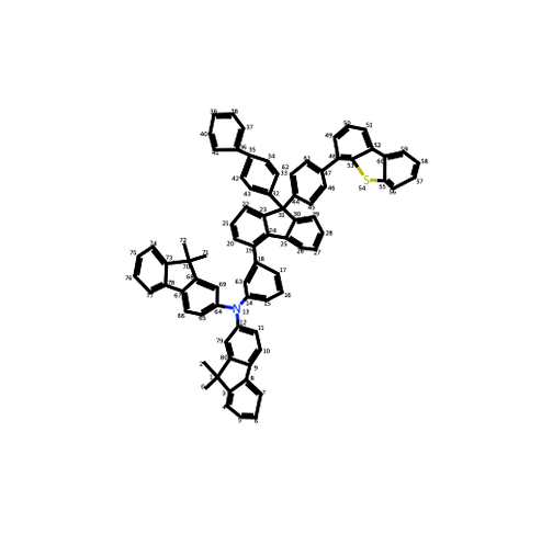 CC1(C)c2ccccc2-c2ccc(N(c3cccc(-c4cccc5c4-c4ccccc4C5(c4ccc(-c5ccccc5)cc4)c4ccc(-c5cccc6c5sc5ccccc56)cc4)c3)c3ccc4c(c3)C(C)(C)c3ccccc3-4)cc21